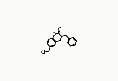 O=C1Oc2ccc(CCl)cc2CC1Cc1ccccc1